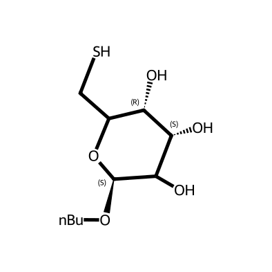 CCCCO[C@H]1OC(CS)[C@H](O)[C@H](O)C1O